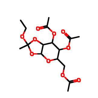 CCOC1(C)OC2OC(COC(C)=O)C(OC(C)=O)C(OC(C)=O)C2O1